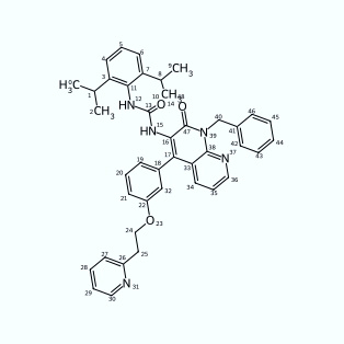 CC(C)c1cccc(C(C)C)c1NC(=O)Nc1c(-c2cccc(OCCc3ccccn3)c2)c2cccnc2n(Cc2ccccc2)c1=O